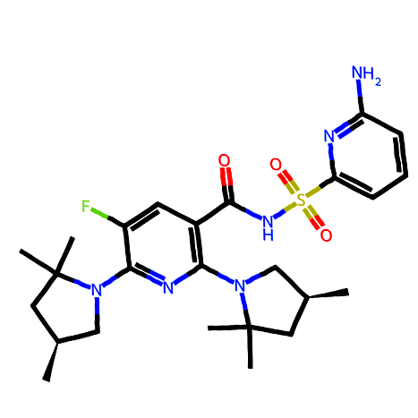 C[C@@H]1CN(c2nc(N3C[C@@H](C)CC3(C)C)c(C(=O)NS(=O)(=O)c3cccc(N)n3)cc2F)C(C)(C)C1